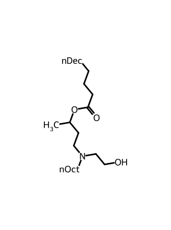 CCCCCCCCCCCCCC(=O)OC(C)CCN(CCO)CCCCCCCC